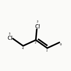 CC=C(Cl)CCl